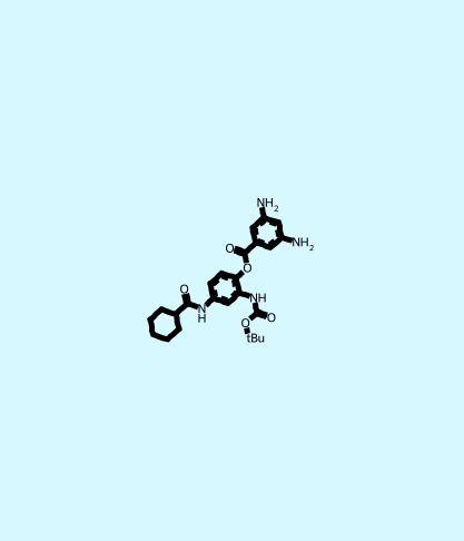 CC(C)(C)OC(=O)Nc1cc(NC(=O)C2CCCCC2)ccc1OC(=O)c1cc(N)cc(N)c1